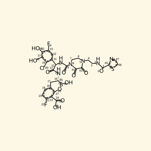 O=C(NCCN1CCN(C(=O)NC(C(=O)N[C@H]2Cc3ccc(F)c(C(=O)O)c3OB2O)c2cc(F)c(O)c(O)c2Cl)C(=O)C1=O)c1nccs1